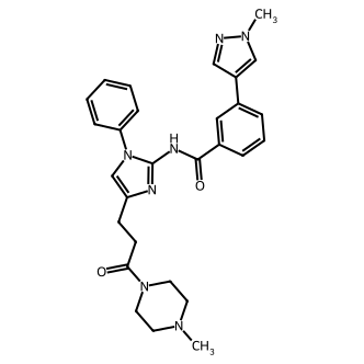 CN1CCN(C(=O)CCc2cn(-c3ccccc3)c(NC(=O)c3cccc(-c4cnn(C)c4)c3)n2)CC1